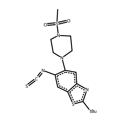 CC(C)(C)c1nc2cc(N3CCN(S(C)(=O)=O)CC3)c(N=C=S)cc2s1